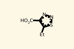 CCc1snnc1C(=O)O